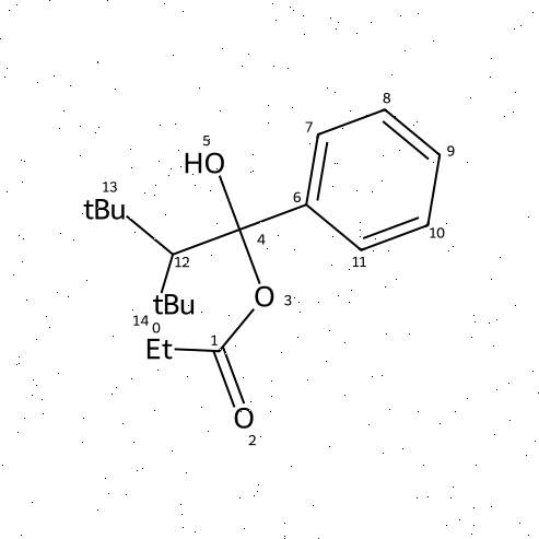 CCC(=O)OC(O)(c1ccccc1)C(C(C)(C)C)C(C)(C)C